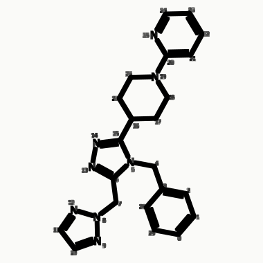 c1ccc(Cn2c(Cn3nccn3)nnc2C2CCN(c3ccccn3)CC2)cc1